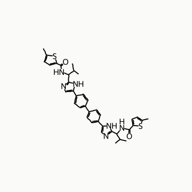 Cc1ccc(C(=O)NC(c2ncc(-c3ccc(-c4ccc(-c5cnc(C(NC(=O)c6ccc(C)s6)C(C)C)[nH]5)cc4)cc3)[nH]2)C(C)C)s1